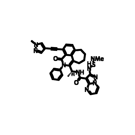 CNSNc1nn2cccnc2c1C(=O)N[C@H](C)c1c2c3c(ccc(C#Cc4cnn(C)c4)c3c(=O)n1-c1ccccc1)CCCC2